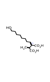 C=C(C(=O)O)/C(=C\CCCCCCCO)C(=O)O